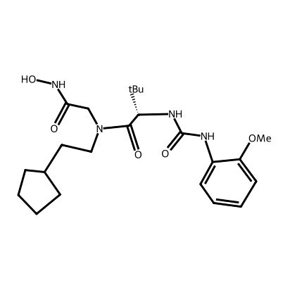 COc1ccccc1NC(=O)N[C@H](C(=O)N(CCC1CCCC1)CC(=O)NO)C(C)(C)C